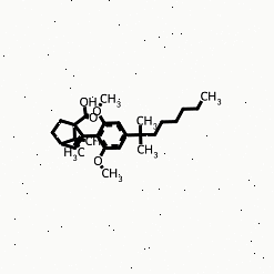 CCCCCCC(C)(C)c1cc(OC)c(C2=CC3CCC2(C(=O)O)C3(C)C)c(OC)c1